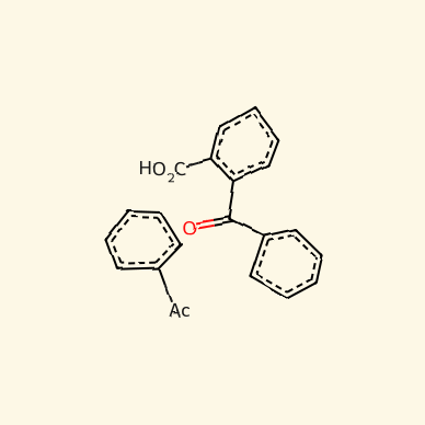 CC(=O)c1ccccc1.O=C(O)c1ccccc1C(=O)c1ccccc1